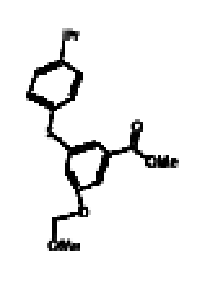 COCOc1cc(Sc2ccc(C(C)C)cc2)cc(C(=O)OC)c1